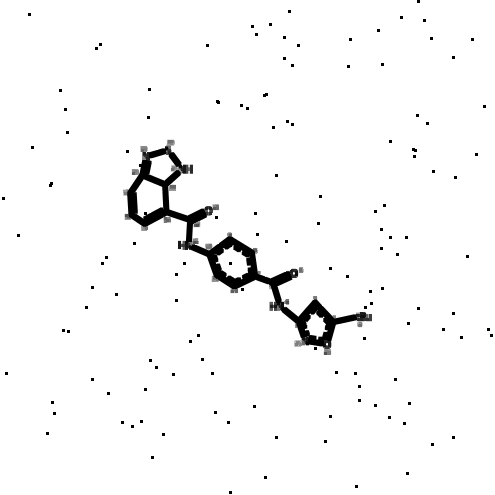 CC(C)(C)c1cc(NC(=O)c2ccc(NC(=O)C3=CC=CC4=NSNC34)cc2)no1